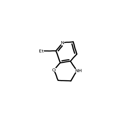 CCc1nccc2c1OCCN2